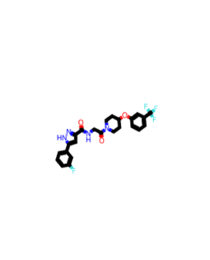 O=C(NCC(=O)N1CCC(Oc2cccc(C(F)(F)F)c2)CC1)c1cc(-c2cccc(F)c2)[nH]n1